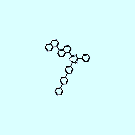 c1ccc(-c2ccc(-c3ccc(-c4nc(-c5ccccc5)nc(-c5cccc6c(-c7cccc8ccccc78)cccc56)n4)cc3)cc2)cc1